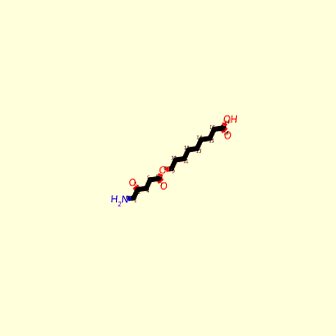 NCC(=O)CCC(=O)OCCCCCCCCC(=O)O